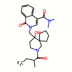 CC(CC(F)(F)F)C(=O)N1CCC(O)(Cn2cc(C(=O)N(C)C)c3ccccc3c2=O)C2(CCCC2)C1